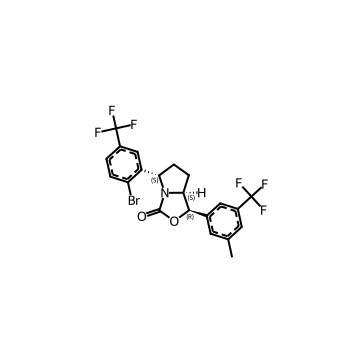 Cc1cc([C@H]2OC(=O)N3[C@H](c4cc(C(F)(F)F)ccc4Br)CC[C@@H]23)cc(C(F)(F)F)c1